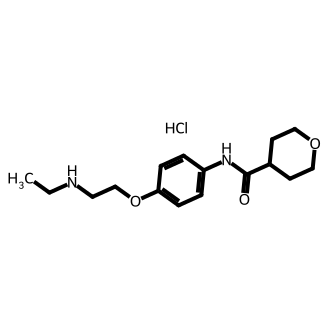 CCNCCOc1ccc(NC(=O)C2CCOCC2)cc1.Cl